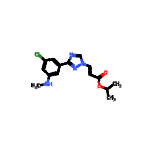 CNc1cc(Cl)cc(-c2ncn(C=CC(=O)OC(C)C)n2)c1